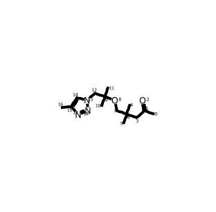 CC(=O)CC(C)(C)COC(C)(C)Cn1cc(C)nn1